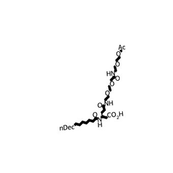 CCCCCCCCCCCCCCCCC(=O)N[C@@H](CCC(=O)NCCOCCOCC(=O)NCCOCCOCC(C)=O)CC(=O)O